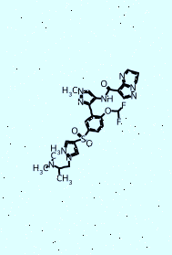 CC(Cn1cc(S(=O)(=O)c2ccc(OC(F)F)c(-c3nn(C)cc3NC(=O)c3cnn4cccnc34)c2)cn1)N(C)C